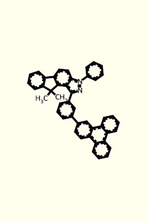 CC1(C)c2ccccc2-c2ccc3c(c(-c4cccc(-c5ccc6c7ccccc7c7ccccc7c6c5)c4)nn3-c3ccccc3)c21